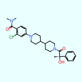 CN(C)C(=O)c1ccc(N2CCC(C3CCN(C(=O)[C@@](C)(O)c4ccccc4)CC3)CC2)cc1Cl